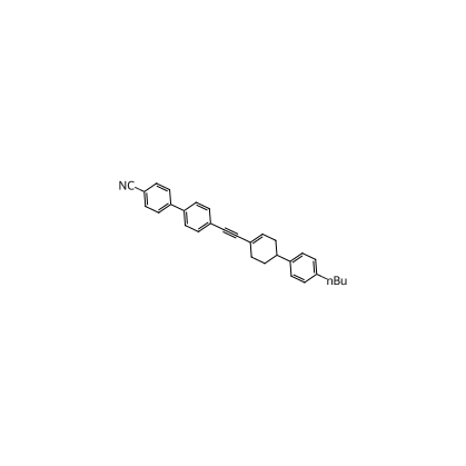 CCCCc1ccc(C2CC=C(C#Cc3ccc(-c4ccc(C#N)cc4)cc3)CC2)cc1